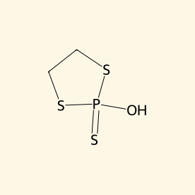 OP1(=S)SCCS1